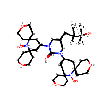 CC(C)(CC1CN(C2CC3(CCOCC3)N(O)C3(CCOCC3)C2)C(=O)N(C2CC3(CCOCC3)N(O)C3(CCOCC3)C2)C1)[Si](C)(C)O